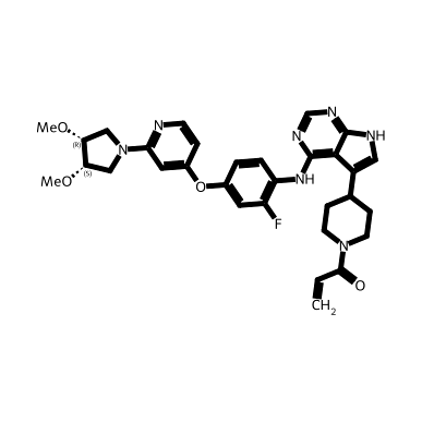 C=CC(=O)N1CCC(c2c[nH]c3ncnc(Nc4ccc(Oc5ccnc(N6C[C@H](OC)[C@H](OC)C6)c5)cc4F)c23)CC1